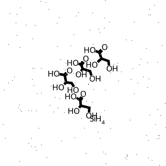 O=C(O)C(O)CO.O=C(O)C(O)CO.O=C(O)C(O)CO.O=C(O)C(O)CO.[SiH4]